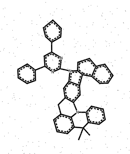 CC1(C)c2ccccc2N2c3cc4c5c6ccccc6ccc5n(-c5nc(-c6ccccc6)cc(-c6ccccc6)n5)c4cc3Cc3cccc1c32